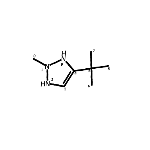 CN1NC=C(C(C)(C)C)N1